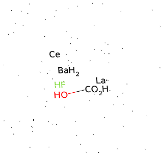 F.O=C(O)O.[BaH2].[Ce].[La]